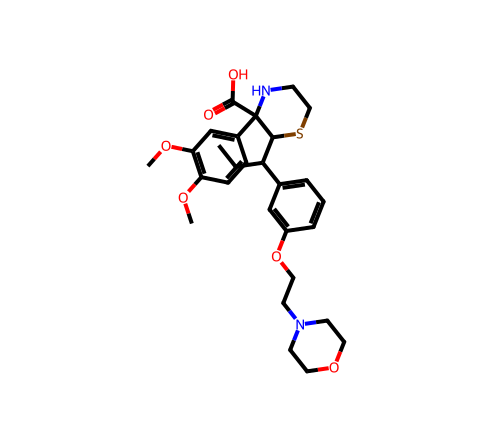 CCC(c1cccc(OCCN2CCOCC2)c1)C1SCCNC1(C(=O)O)c1ccc(OC)c(OC)c1